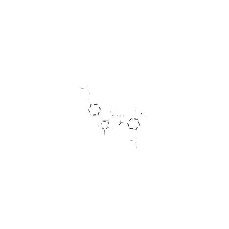 CC(NC(=O)c1cc(OC(F)F)cc(C(F)(F)F)c1)c1nc(Br)nn1-c1ccc(OCC(F)F)cn1